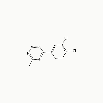 Cc1nccc(-c2ccc(Cl)c(Cl)c2)n1